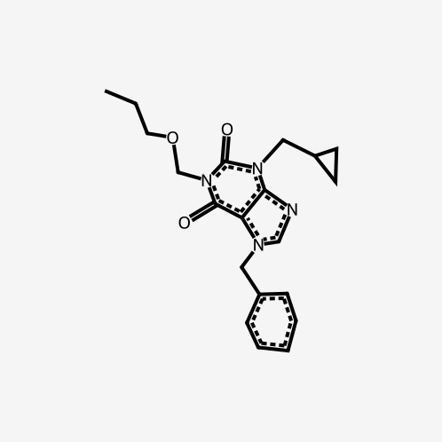 CCCOCn1c(=O)c2c(ncn2Cc2ccccc2)n(CC2CC2)c1=O